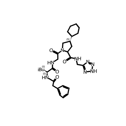 CC[C@H](C)[C@H](NC(=O)Cc1ccccc1)C(=O)NCC(=O)N1C[C@H](C2CCCCC2)CC1C(=O)NCc1nn[nH]n1